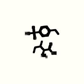 CCC(C)[C@H](N)C(=O)O.CCc1ccc(S(=O)(=O)O)cc1